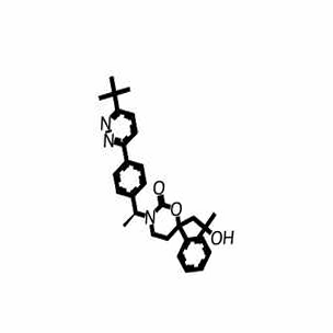 C[C@@H](c1ccc(-c2ccc(C(C)(C)C)nn2)cc1)N1CCC(CC(C)(C)O)(c2ccccc2)OC1=O